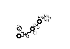 N=C(N)Nc1ccc(C(=O)Oc2ccc(CCC(=O)N(CCN3CCOCC3)Cc3ccccc3)c(Cl)c2)cc1